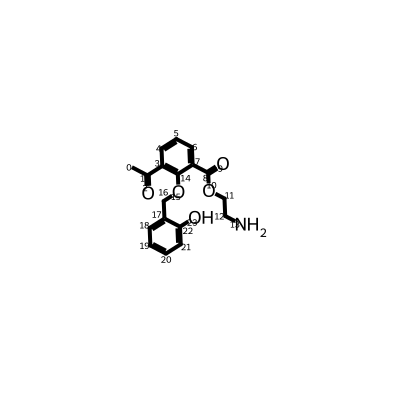 CC(=O)c1cccc(C(=O)OCCN)c1OCc1ccccc1O